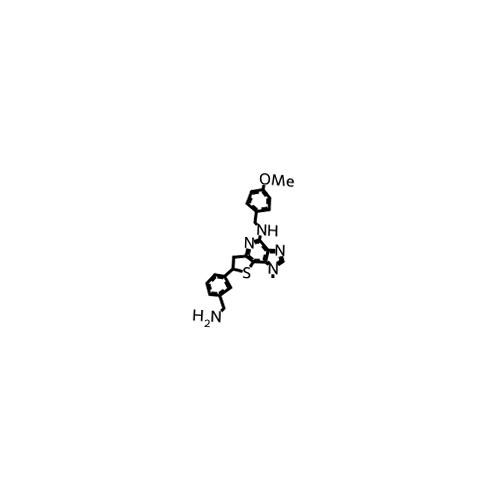 COc1ccc(CNc2nc3c(c4c2ncn4C)SC(c2cccc(CN)c2)C3)cc1